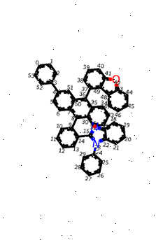 c1ccc(-c2ccc3c(-c4ccccc4-c4nc5ccccc5n4-c4ccccc4)c4ccccc4c(-c4cccc5oc6ccccc6c45)c3c2)cc1